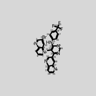 Brc1cnc2cccnc2c1.Cc1c(Nc2ccc(C(F)(F)F)cc2)ncnc1-c1cnc2cccnc2c1